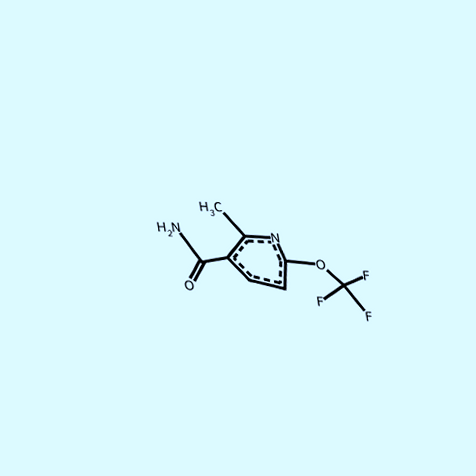 Cc1nc(OC(F)(F)F)ccc1C(N)=O